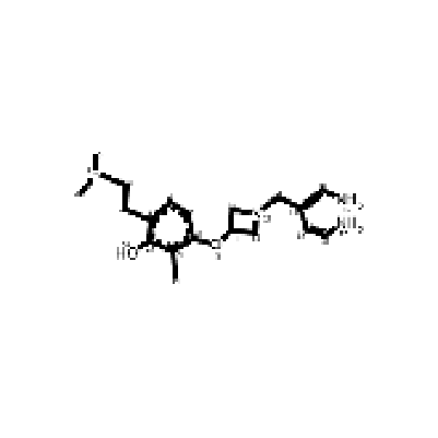 CB(C)CCc1ccc(OC2CN(CC(/C=C\N)=C/N)C2)c(C)c1O